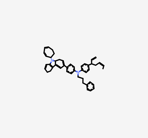 C=CC(C/C=C\C)c1ccc(N(CCCc2ccccc2)c2ccc(C3=CCC4C(=C3)C3=C(C=CCC3)N4[C@@H]3C=CC=CCC3)cc2)cc1